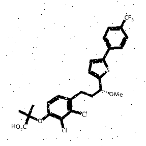 CO[C@H](CCc1ccc(OC(C)(C)C(=O)O)c(Cl)c1Cl)c1ccc(-c2ccc(C(F)(F)F)cc2)s1